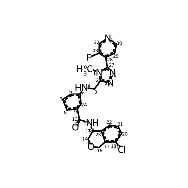 Cn1c(CNc2cccc(C(=O)N[C@@H]3COCc4c(Cl)cccc43)c2)nnc1-c1ccncc1F